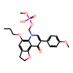 CCCOc1cc2c(c3c(=O)c(-c4ccc(OC)cc4)cn(COP(=O)(O)OC)c13)OCC2